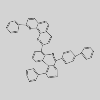 c1ccc(-c2ccc(-c3nc4c(-c5ccc6ccc7ccc(-c8ccccc8)nc7c6n5)cccc4c4c(-c5ccccc5)cccc34)cc2)cc1